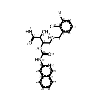 CC(C([NH])=O)C(CNCc1cccc(F)c1Cl)OC(=O)Nc1cc2ccccc2cn1